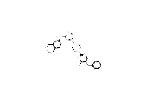 Cc1nc(N2CCN(c3ncnc(Nc4ccc5c(c4)CNCC5)n3)CC2)ncc1Cc1ccccc1